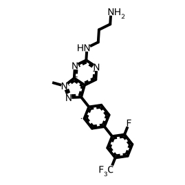 Cn1nc(-c2[c]cc(-c3cc(C(F)(F)F)ccc3F)cc2)c2cnc(NCCCN)nc21